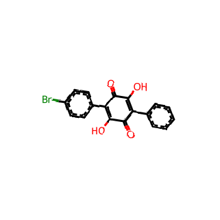 O=C1C(O)=C(c2ccc(Br)cc2)C(=O)C(O)=C1c1ccccc1